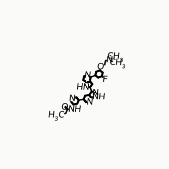 CCC(=O)Nc1cncc(-c2cnc3[nH]nc(-c4cc5c(-c6cc(F)cc(OCCN(C)C)c6)nccc5[nH]4)c3c2)c1